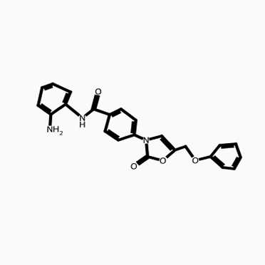 Nc1ccccc1NC(=O)c1ccc(-n2cc(COc3ccccc3)oc2=O)cc1